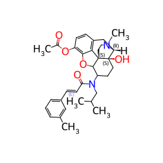 CC(=O)Oc1ccc2c3c1OC1C(N(CC(C)C)C(=O)/C=C/c4cccc(C)c4)CC[C@@]4(O)[C@@H](C2)N(C)CC[C@]314